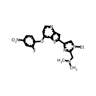 CCn1cc(-c2cc3nccc(Oc4ccc([N+](=O)[O-])cc4F)c3s2)nc1CN(C)C